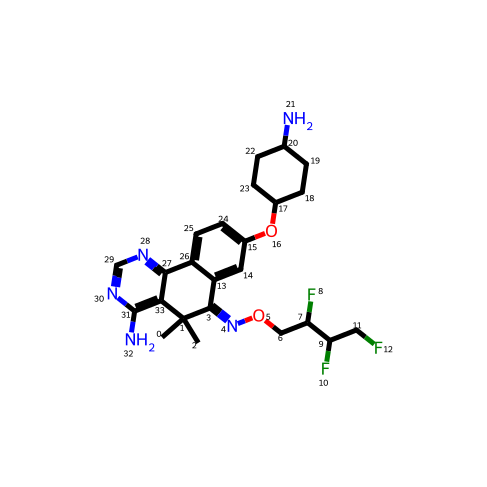 CC1(C)/C(=N/OCC(F)C(F)CF)c2cc(OC3CCC(N)CC3)ccc2-c2ncnc(N)c21